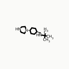 CC(C)(C)NC[C@H]1CC[C@H](N2CCNCC2)CC1